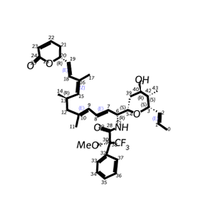 C/C=C/[C@@H]1O[C@H]([C@@H](/C=C/C=C(\C)C[C@@H](C)/C=C(C)\C=C\[C@H]2CC=CC(=O)O2)NC(=O)[C@](OC)(c2ccccc2)C(F)(F)F)C[C@@H](O)[C@@H]1C